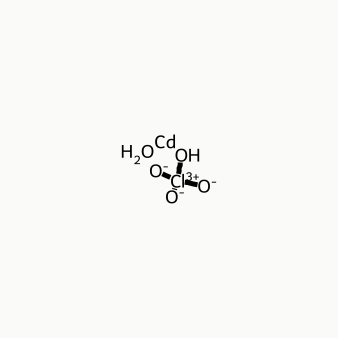 O.[Cd].[O-][Cl+3]([O-])([O-])O